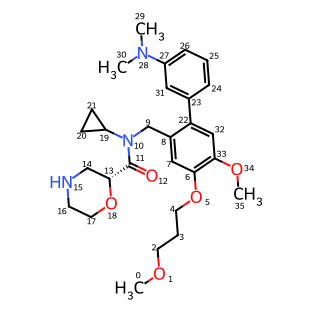 COCCCOc1cc(CN(C(=O)[C@H]2CNCCO2)C2CC2)c(-c2cccc(N(C)C)c2)cc1OC